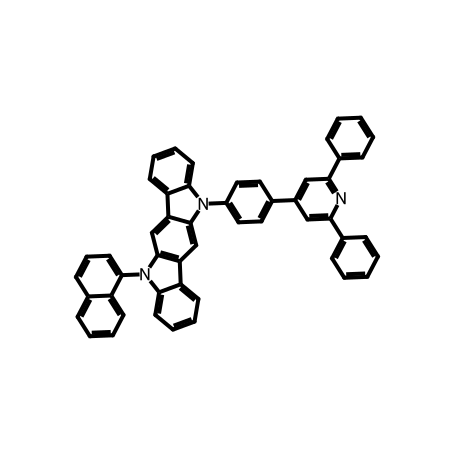 c1ccc(-c2cc(-c3ccc(-n4c5ccccc5c5cc6c(cc54)c4ccccc4n6-c4cccc5ccccc45)cc3)cc(-c3ccccc3)n2)cc1